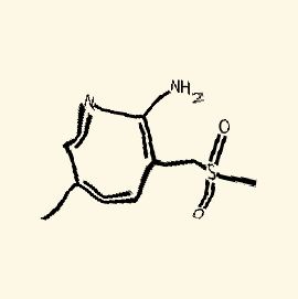 Cc1cnc(N)c(S(C)(=O)=O)c1